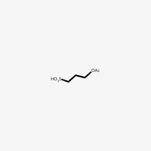 CC(=O)OCCCS(=O)(=O)O